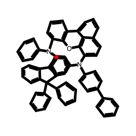 c1ccc(-c2ccc(N(c3ccc4c(c3)C(c3ccccc3)(c3ccccc3)c3ccccc3-4)c3ccc4cccc5c4c3Oc3c-5cccc3N(c3ccccc3)c3ccccc3)cc2)cc1